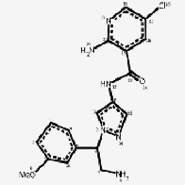 COc1cccc(C(CN)n2cc(NC(=O)c3cc(Cl)cnc3N)cn2)c1